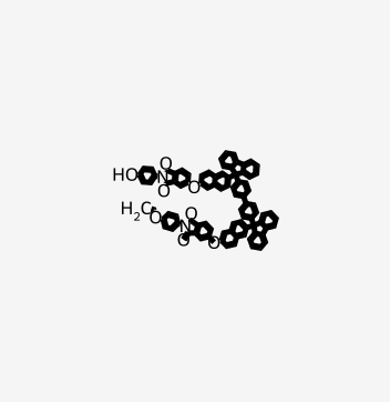 C=COc1ccc(N2C(=O)c3ccc(Oc4ccc5cc(C6(c7ccc(-c8ccc(C9(c%10ccc%11cc(Oc%12ccc%13c(c%12)C(=O)N(c%12ccc(O)cc%12)C%13=O)ccc%11c%10)c%10ccccc%10-c%10ccccc%109)cc8)cc7)c7ccccc7-c7ccccc76)ccc5c4)cc3C2=O)cc1